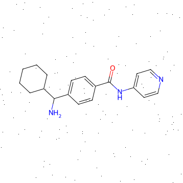 NC(c1ccc(C(=O)Nc2ccncc2)cc1)C1CCCCC1